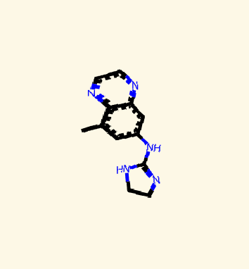 Cc1cc(NC2=NCCN2)cc2nccnc12